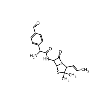 CC=CC1N2C(=O)C(NC(=O)C(N)c3ccc(C=O)cc3)C2SC1(C)C